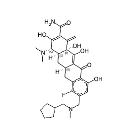 C=C1C(C(N)=O)=C(O)[C@@H](N(C)C)[C@@H]2C[C@@H]3Cc4c(F)c(CN(C)CC5CCCC5)cc(O)c4C(=O)C3=C(O)[C@]12O